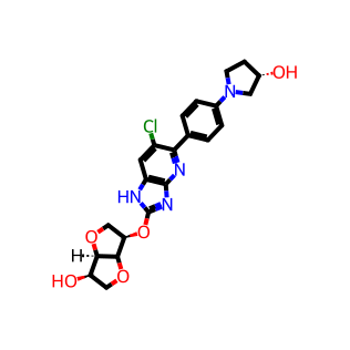 O[C@H]1CCN(c2ccc(-c3nc4nc(O[C@@H]5CO[C@H]6C5OC[C@H]6O)[nH]c4cc3Cl)cc2)C1